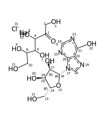 O=C(CO)C(O)C(O)C(O)CO.OC[C@H]1O[C@@H](n2cnc3c(O)ncnc32)[C@H](O)[C@@H]1O.[Cl-].[Na+]